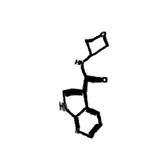 O=C(NC1COC1)c1c[nH]c2ncccc12